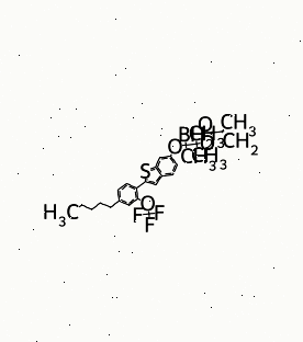 BC(C)(Oc1ccc2cc(-c3ccc(CCCCC)cc3OC(F)(F)F)sc2c1)C(C)(C)OC(=O)C(=C)C